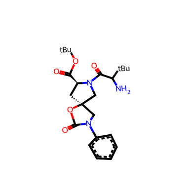 CC(C)(C)OC(=O)[C@@H]1C[C@@]2(CN(c3ccccc3)C(=O)O2)CN1C(=O)C(N)C(C)(C)C